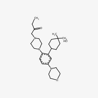 CCC(=O)CN1CCN(c2ccc(N3CCOCC3)cc2C2CCC(C)(C)CC2)CC1.Cl